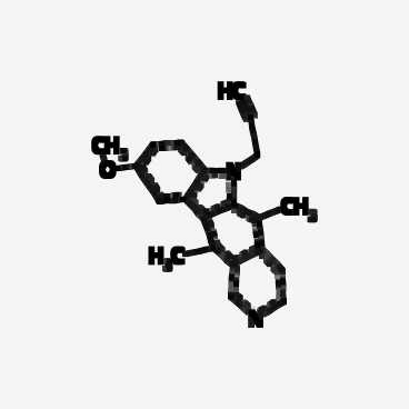 C#CCn1c2ccc(OC)cc2c2c(C)c3cnccc3c(C)c21